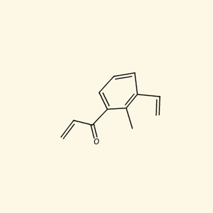 C=CC(=O)c1cccc(C=C)c1C